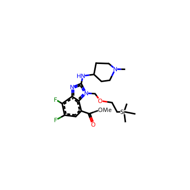 COC(=O)c1cc(F)c(F)c2nc(NC3CCN(C)CC3)n(COCC[Si](C)(C)C)c12